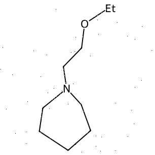 [CH2]COCCN1CCCCC1